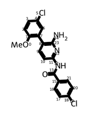 COc1ccc(Cl)cc1-c1ccc(NC(=O)c2ccc(Cl)cc2)nc1N